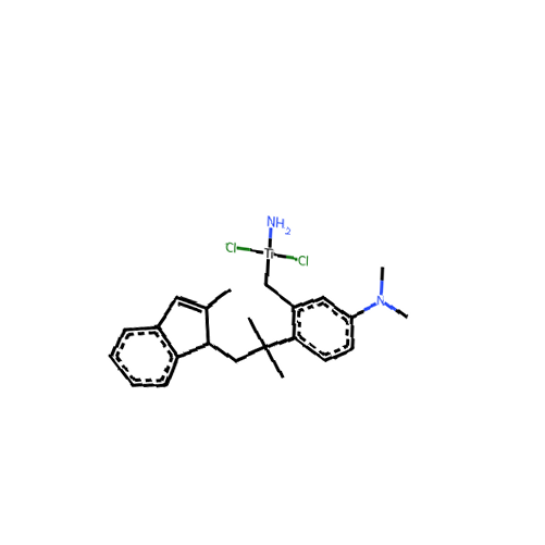 CC1=Cc2ccccc2C1CC(C)(C)c1ccc(N(C)C)cc1[CH2][Ti]([NH2])([Cl])[Cl]